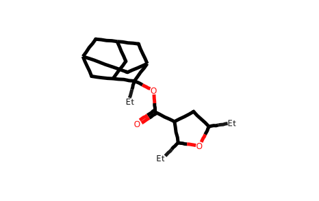 CCC1CC(C(=O)OC2(CC)C3CC4CC(C3)CC2C4)C(CC)O1